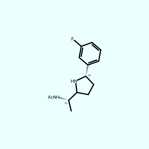 CC(=O)N[C@@H](C)C1CC[C@@H](c2cccc(F)c2)N1